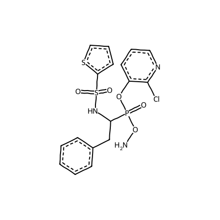 NOP(=O)(Oc1cccnc1Cl)C(Cc1ccccc1)NS(=O)(=O)c1cccs1